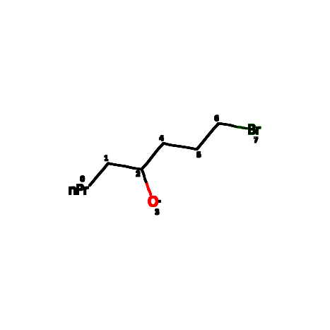 CCCCC([O])CCCBr